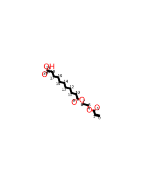 C=CC(=O)OCCOC(=O)CCCCCCCCCC(=O)O